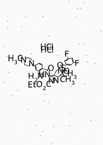 CCOC(=O)n1nc2c(c1NC(=O)c1ccc(N3CCN(C)CC3)cc1N)CN(S(=O)(=O)c1cc(F)cc(F)c1)C2(C)C.Cl.Cl